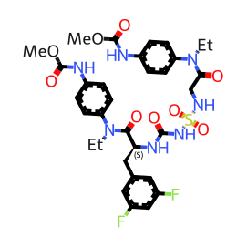 CCN(C(=O)CNS(=O)(=O)NC(=O)N[C@@H](Cc1cc(F)cc(F)c1)C(=O)N(CC)c1ccc(NC(=O)OC)cc1)c1ccc(NC(=O)OC)cc1